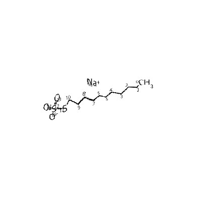 CCCCCCCCCCCSS(=O)(=O)[O-].[Na+]